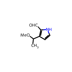 COC(C)c1cc[nH]c1C=O